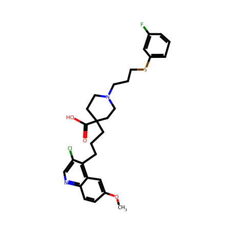 COc1ccc2ncc(Cl)c(CCCC3(C(=O)O)CCN(CCCSc4cccc(F)c4)CC3)c2c1